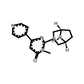 CC(=O)N1[C@@H]2CC[C@H]1CN(c1nc(-c3ccncc3)cc(=O)n1C)C2